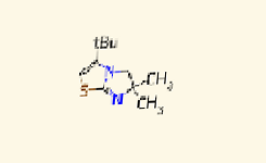 CC1(C)CN2C(C(C)(C)C)=CSC2=N1